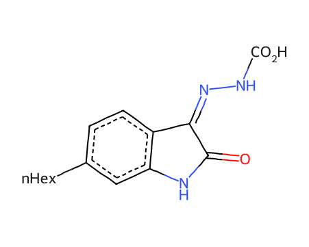 CCCCCCc1ccc2c(c1)NC(=O)/C2=N\NC(=O)O